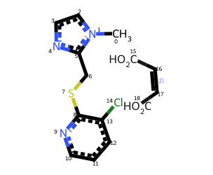 Cn1ccnc1CSc1ncccc1Cl.O=C(O)/C=C\C(=O)O